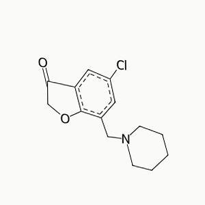 O=C1COc2c(CN3CCCCC3)cc(Cl)cc21